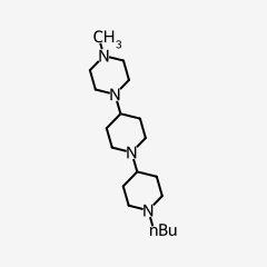 CCCCN1CCC(N2CCC(N3CCN(C)CC3)CC2)CC1